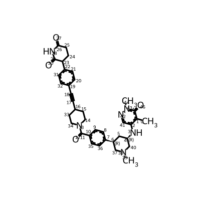 Cc1c(N[C@@H]2C[C@H](c3ccc(C(=O)N4CCC(C#Cc5ccc(C6CCC(=O)NC6=O)cc5)CC4)cc3)CN(C)C2)cnn(C)c1=O